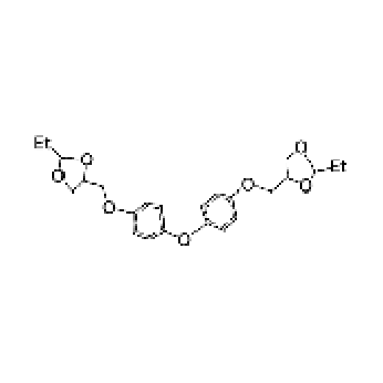 CCC1OCC(COc2ccc(Oc3ccc(OCC4COC(CC)O4)cc3)cc2)O1